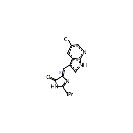 CC(C)C1=N/C(=C\c2c[nH]c3ncc(Cl)cc23)C(=O)N1